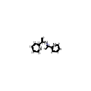 C=C(/N=C(\C)c1ccccn1)c1ccccn1